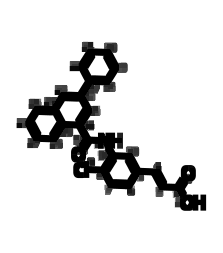 O=C(O)/C=C/c1ccc(Cl)c(NC(=O)c2cc(-c3ccccc3)cc3ccccc23)c1